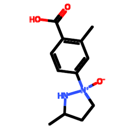 Cc1cc([N+]2([O-])CCC(C)N2)ccc1C(=O)O